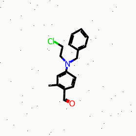 Cc1cc(N(CCCl)Cc2ccccc2)ccc1C=O